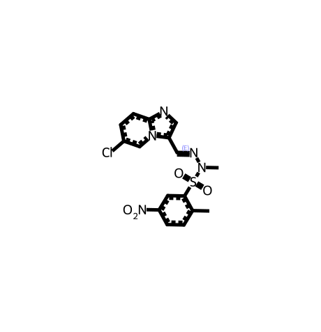 Cc1ccc([N+](=O)[O-])cc1S(=O)(=O)N(C)/N=C/c1cnc2ccc(Cl)cn12